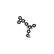 c1ccc(-c2cc(-c3ccc(-c4ccc5c6ccccc6c6ccccc6c5c4)cc3)nc(-c3ccc(-c4cccnc4)cc3)n2)cc1